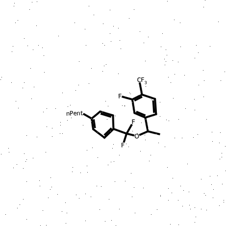 CCCCCc1ccc(C(F)(F)OC(C)c2ccc(C(F)(F)F)c(F)c2)cc1